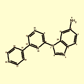 Nc1ccc2ncn(-c3cncc(-c4ccncc4)n3)c2c1